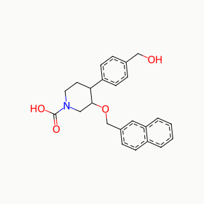 O=C(O)N1CCC(c2ccc(CO)cc2)C(OCc2ccc3ccccc3c2)C1